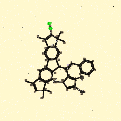 CCC1=[C](/[Zr+2](=[CH]\c2ccccc2)[CH]2c3cc4c(cc3-c3cc5c(cc32)C(C)(C)C=C5C)C(C)=CC4(C)C)C(CC)C=C1C(C)(C)C.[Cl-].[Cl-]